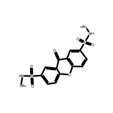 CCCCNS(=O)(=O)c1ccc2oc3ccc(S(=O)(=O)NCCCC)cc3c(=O)c2c1